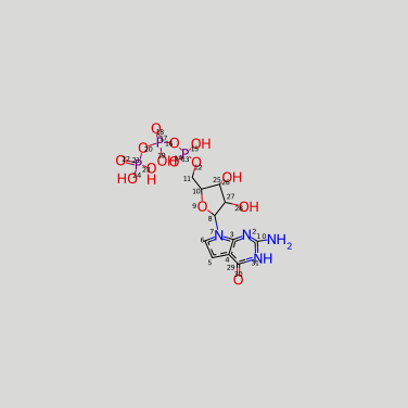 Nc1nc2c(ccn2C2OC(COP(=O)(O)OP(=O)(O)OP(=O)(O)O)C(O)C2O)c(=O)[nH]1